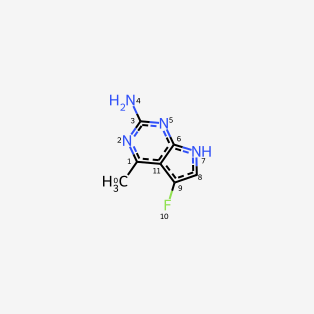 Cc1nc(N)nc2[nH]cc(F)c12